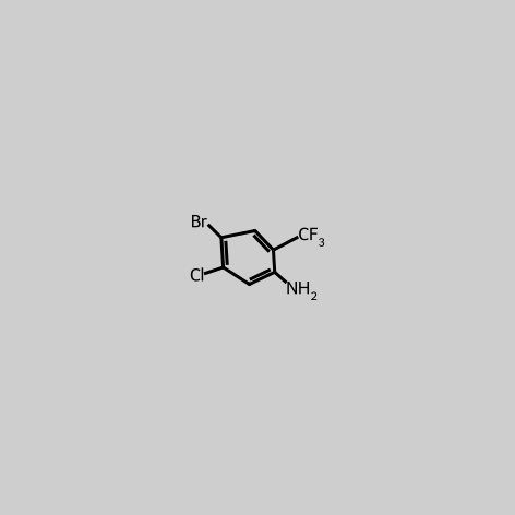 Nc1cc(Cl)c(Br)cc1C(F)(F)F